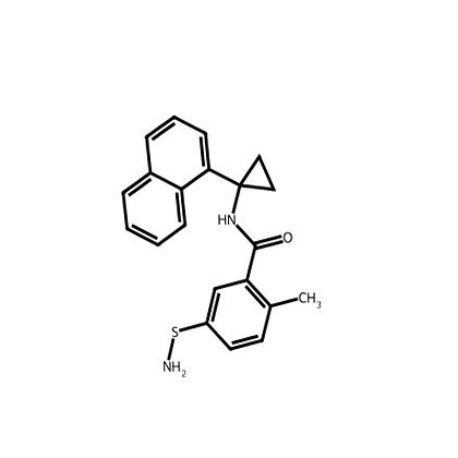 Cc1ccc(SN)cc1C(=O)NC1(c2cccc3ccccc23)CC1